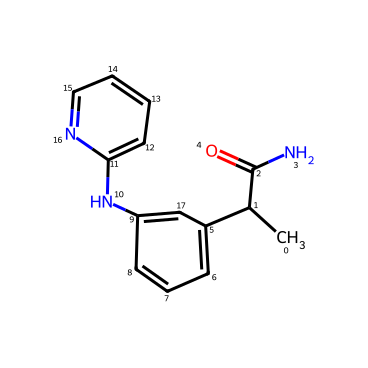 CC(C(N)=O)c1cccc(Nc2ccccn2)c1